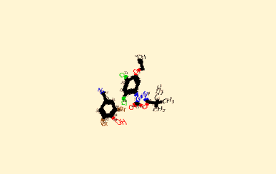 C#CCOc1cc(-n2nc(C(C)(C)C)oc2=O)c(Cl)cc1Cl.N#Cc1cc(Br)c(O)c(Br)c1